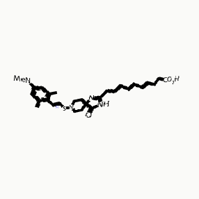 CNc1cc(C)c(/C=C/SN2CCC3(CC2)N=C(CCCCCCCCCC(=O)O)NC3=O)c(C)c1